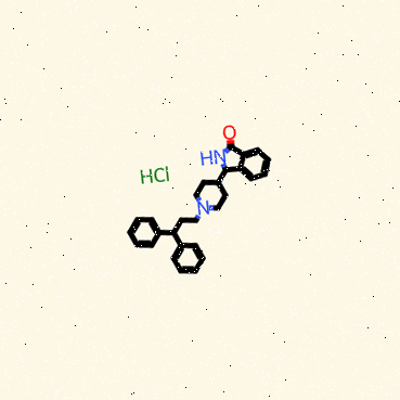 Cl.O=C1NC(C2CCN(CCC(c3ccccc3)c3ccccc3)CC2)c2ccccc21